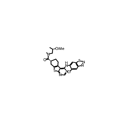 CO[C@H](C)CN(C)C(=O)[C@H]1CCc2c(sc3ncnc(Nc4cc5snnc5cc4Cl)c23)C1